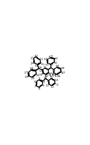 Oc1c(C(c2ccccc2)c2ccccc2)cc(C(c2ccccc2)c2ccccc2)cc1C(c1ccccc1)c1ccccc1